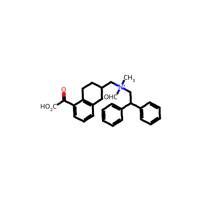 C[N+](C=O)(CC1CCc2c(cccc2C(=O)C(=O)O)C1)CC(c1ccccc1)c1ccccc1